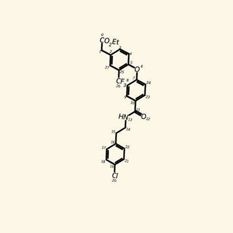 CCOC(=O)Cc1ccc(Oc2ccc(C(=O)NCCc3ccc(Cl)cc3)cc2)c(C(F)(F)F)c1